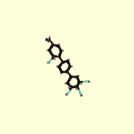 Cc1ccc(-c2ccc(-c3cc(F)c(F)c(F)c3)cc2)c(F)c1